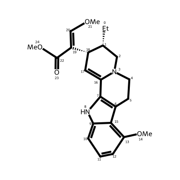 CC[C@@H]1CN2CCc3c([nH]c4cccc(OC)c34)C2=C[C@@H]1/C(=C\OC)C(=O)OC